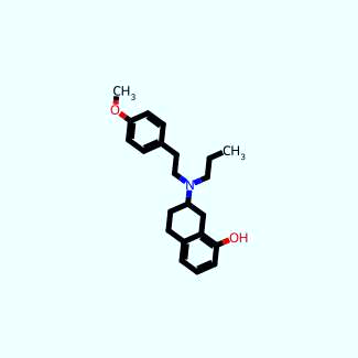 CCCN(CCc1ccc(OC)cc1)C1CCc2cccc(O)c2C1